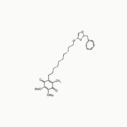 COC1=C(OC)C(=O)C(CCCCCCCCCCOC2=COC(Cc3ccccc3)O2)=C(C)C1=O